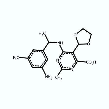 Cc1nc(NC(C)c2cc(N)cc(C(F)(F)F)c2)c(C2OCCO2)c(C(=O)O)n1